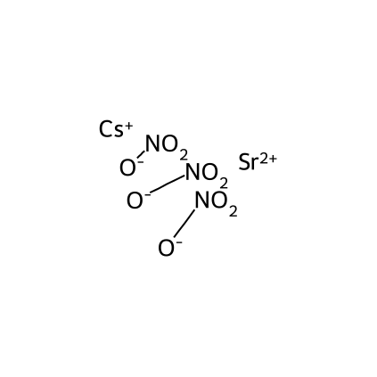 O=[N+]([O-])[O-].O=[N+]([O-])[O-].O=[N+]([O-])[O-].[Cs+].[Sr+2]